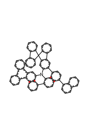 c1ccc(-c2ccccc2N(c2ccc3c4ccccc4c4ccccc4c3c2)c2cc3c(cc2-c2ccc(-c4cccc5ccccc45)cc2)-c2ccccc2C32c3ccccc3-c3ccccc32)cc1